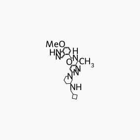 COc1ccc(C(=O)NC(C)c2ccc(N3CCC[C@@H](NCC4CCC4)C3)nn2)c2cn[nH]c12